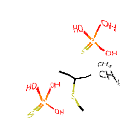 C.C.CSC(C)C.OP(O)(O)=S.OP(O)(O)=S